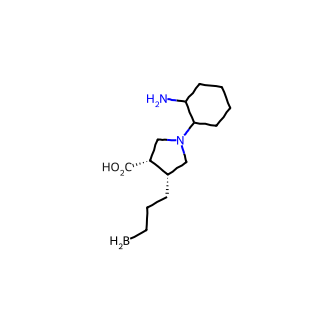 BCCC[C@H]1CN(C2CCCCC2N)C[C@H]1C(=O)O